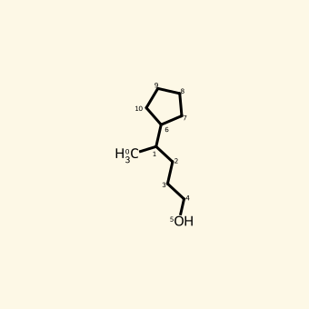 CC(CCCO)C1CCCC1